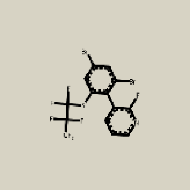 Fc1ncccc1-c1c(Br)[c]c(Br)cc1SC(F)(F)C(F)(F)C(F)(F)F